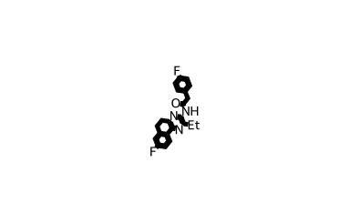 CCc1nc2c(nc1NC(=O)Cc1ccc(F)cc1)CCc1cc(F)ccc1-2